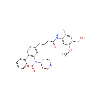 COc1cc(NC(=O)CCCc2ccc(-c3ccccc3)c(N(C(=O)O)C34CCN(CC3)CC4)c2)c(Cl)cc1CO